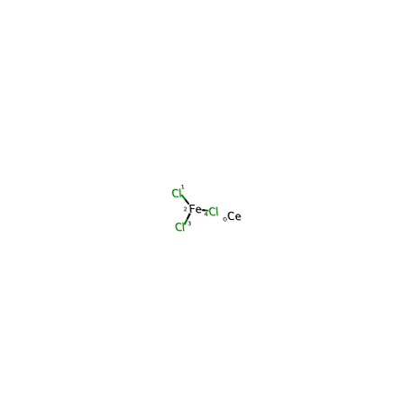 [Ce].[Cl][Fe]([Cl])[Cl]